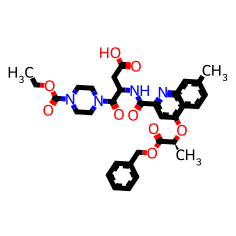 CCOC(=O)N1CCN(C(=O)C(CC(=O)O)NC(=O)c2cc(O[C@H](C)C(=O)OCc3ccccc3)c3ccc(C)cc3n2)CC1